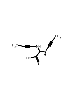 CC#CNC(NC#CC)C(=O)O